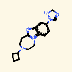 C1=NCNN1c1ccc2c(c1)nc1n2CCN(C2CCC2)CC1